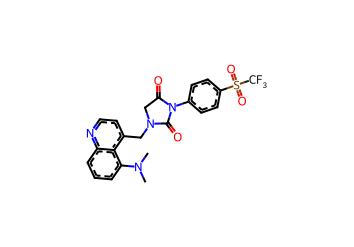 CN(C)c1cccc2nccc(CN3CC(=O)N(c4ccc(S(=O)(=O)C(F)(F)F)cc4)C3=O)c12